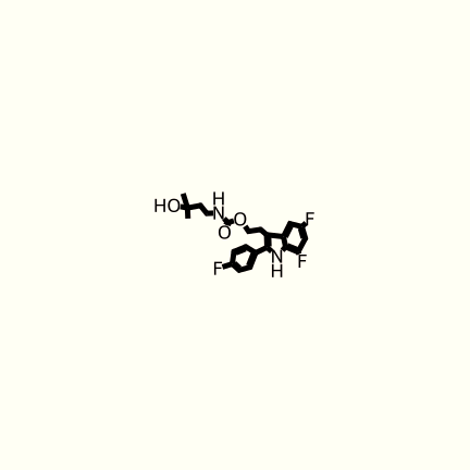 CC(C)(O)CCNC(=O)OCCc1c(-c2ccc(F)cc2)[nH]c2c(F)cc(F)cc12